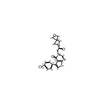 O=C(Cn1cnc2scc(-c3ccc(Cl)cc3)c2c1=O)N1CC2(COC2)C1